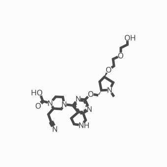 CN1C[C@H](OCCOCCO)C[C@H]1COc1nc2c(c(N3CCN(C(=O)O)C(CC#N)C3)n1)CCNC2